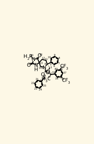 C[C@@H](OC[C@@]1(c2ccccc2)CCC2(CN1C(=O)OCc1ccccc1)NC(=O)N(P)C2=O)c1cc(C(F)(F)F)cc(C(F)(F)F)c1